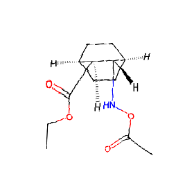 CCOC(=O)[C@H]1[C@H]2CC[C@H](CC2)[C@@H]1NOC(C)=O